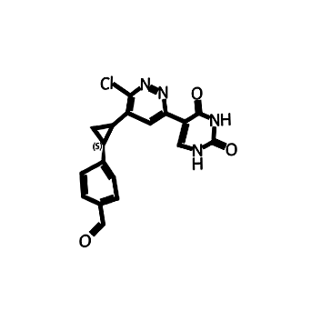 O=Cc1ccc([C@H]2CC2c2cc(-c3c[nH]c(=O)[nH]c3=O)nnc2Cl)cc1